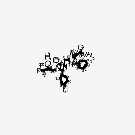 NC(=O)c1nc(Cn2nc(-c3ccc(Cl)cc3)n(C[C@H](O)C(F)(F)F)c2=O)nn1-c1ccccc1